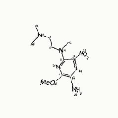 COc1nc(N(C)CCN(C)C)c([N+](=O)[O-])cc1N